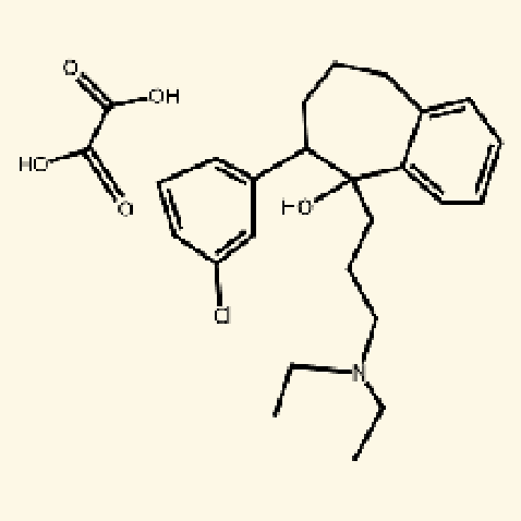 CCN(CC)CCCC1(O)c2ccccc2CCCC1c1cccc(Cl)c1.O=C(O)C(=O)O